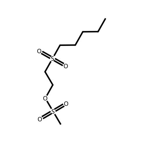 CCCCCS(=O)(=O)CCOS(C)(=O)=O